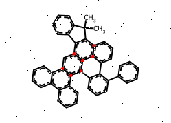 CC1(C)c2ccccc2-c2cc(N(c3cccc(-c4ccccc4)c3-c3ccccc3-c3ccccc3)c3cc4ccccc4c4ccccc34)ccc21